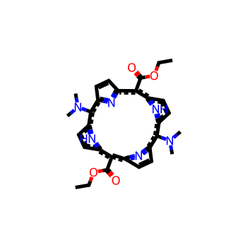 CCOC(=O)c1c2nc(c(N(C)C)c3ccc([nH]3)c(C(=O)OCC)c3nc(c(N(C)C)c4ccc1[nH]4)C=C3)C=C2